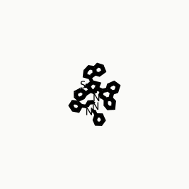 c1ccc(-c2cc(-n3c4c(cc(-c5cccc6ccccc56)c5sc6ccccc6c54)c4c5ccccc5c5ccccc5c43)nc(-c3ccccc3)n2)cc1